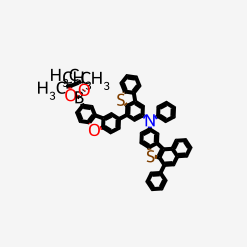 CC1(C)OB(c2ccc3oc4ccc(-c5cc(N(c6ccccc6)c6ccc7sc8c(-c9ccccc9)cc9ccccc9c8c7c6)cc6c5sc5ccccc56)cc4c3c2)OC1(C)C